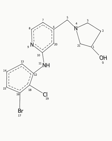 OC1CCN(Cc2ccnc(Nc3cccc(Br)c3Cl)c2)C1